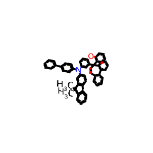 CC1(C)c2ccccc2-c2ccc(N(c3ccc(-c4ccccc4)cc3)c3ccc4c(c3)C3(c5ccccc5O4)c4ccccc4-c4ccccc4-c4ccccc43)cc21